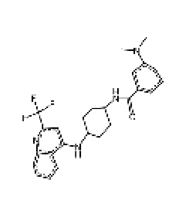 CN(C)c1cccc(C(=O)NC2CCC(Nc3cc(C(F)(F)F)nc4ccccc34)CC2)c1